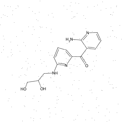 Nc1ncccc1C(=O)c1cccc(NCC(O)CO)n1